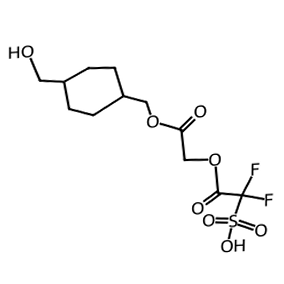 O=C(COC(=O)C(F)(F)S(=O)(=O)O)OCC1CCC(CO)CC1